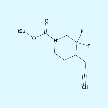 C#CCC1CCN(C(=O)OC(C)(C)C)CC1(F)F